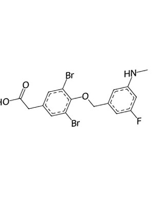 CNc1cc(F)cc(COc2c(Br)cc(CC(=O)O)cc2Br)c1